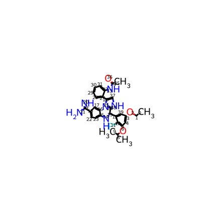 CCOc1cc(OC(C)C)c(F)c(C(Nc2ccc(C(=N)N)cc2)c2nc(-c3ccccc3NC(C)=O)c[nH]2)c1